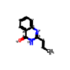 CC=Cc1nc2ccccc2c(=O)[nH]1